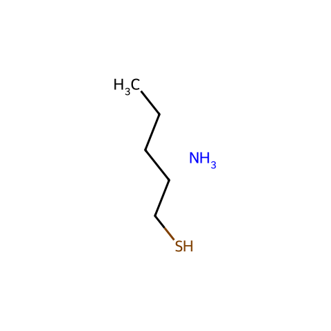 CCCCCS.N